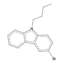 CCCCn1c2ccccc2c2cc(Br)ccc21